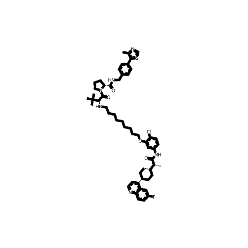 Cc1ncsc1-c1ccc(CNC(=O)[C@H]2CCCN2C(=O)[C@H](NCCCCCCCCCOc2cc(NC(=O)[C@H](C)[C@H]3CC[C@@H](c4ccnc5ccc(F)cc54)CC3)ccc2Cl)C(C)(C)C)cc1